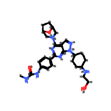 CNC(=O)Nc1ccc(-c2nc(N3CC4CCC(C3)O4)c3cnn(C4CCC(NCCO)CC4)c3n2)cc1